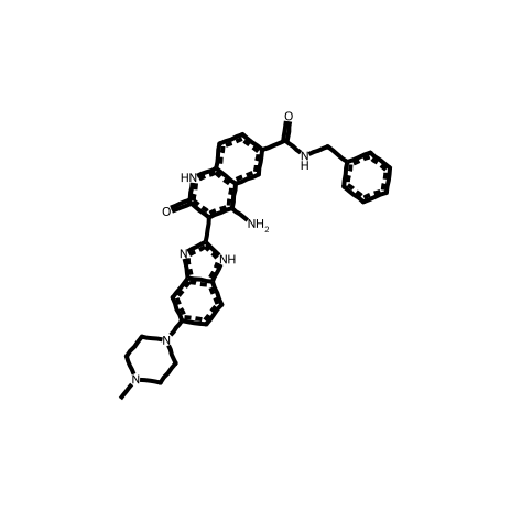 CN1CCN(c2ccc3[nH]c(-c4c(N)c5cc(C(=O)NCc6ccccc6)ccc5[nH]c4=O)nc3c2)CC1